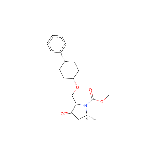 COC(=O)N1C(CO[C@H]2CC[C@@H](c3ccccc3)CC2)C(=O)C[C@H]1C